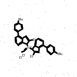 C[CH]=[Zr+2]([CH]1C(CC)=Cc2c(-c3ccc(C(C)(C)C)cc3)cccc21)[CH]1C(CC)=Cc2c(-c3ccc(C(C)(C)C)cc3)cccc21.[Cl-].[Cl-]